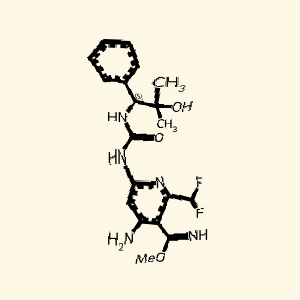 COC(=N)c1c(N)cc(NC(=O)N[C@@H](c2ccccc2)C(C)(C)O)nc1C(F)F